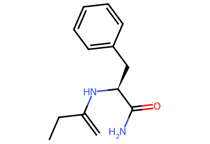 C=C(CC)N[C@@H](Cc1ccccc1)C(N)=O